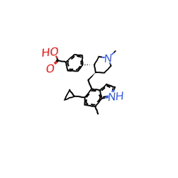 Cc1cc(C2CC2)c(C[C@@H]2CCN(C)C[C@H]2c2ccc(C(=O)O)cc2)c2cc[nH]c12